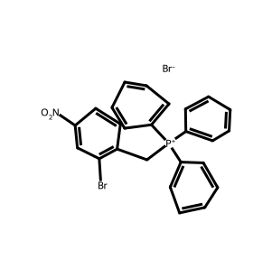 O=[N+]([O-])c1ccc(C[P+](c2ccccc2)(c2ccccc2)c2ccccc2)c(Br)c1.[Br-]